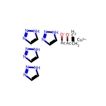 C=C.CC(=O)[O-].CC(=O)[O-].[Cu+2].c1c[nH]nn1.c1c[nH]nn1.c1c[nH]nn1.c1c[nH]nn1